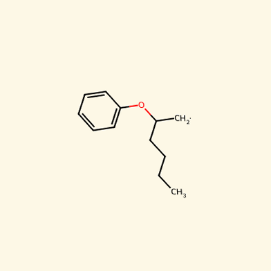 [CH2]C(CCCC)Oc1ccccc1